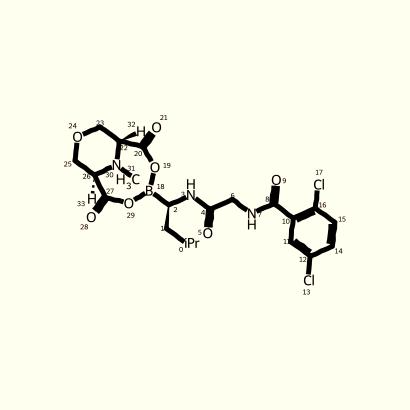 CC(C)C[C@H](NC(=O)CNC(=O)c1cc(Cl)ccc1Cl)B1OC(=O)[C@H]2COC[C@H](C(=O)O1)N2C